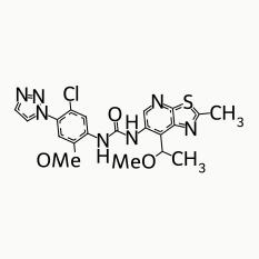 COc1cc(-n2ccnn2)c(Cl)cc1NC(=O)Nc1cnc2sc(C)nc2c1C(C)OC